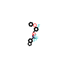 Fc1ccc(CO/C=C(/c2ccc3c(c2)CCC3)C(F)(F)F)cc1Oc1ccccc1